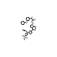 CCS(=O)(=O)N1CC(CC#N)(n2cc(-c3ncnc4c3ccn4COC(=O)C(C)c3cccc(Oc4ccccc4)c3)cn2)C1